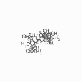 C=C1[C@H](O[Si](C)(C)C(C)(C)C)CC(=C/C=C2\CCC[C@@]3(C)C2CCC3[C@H](C)/C=C/[C@@H](C)C(C)(C)O[Si](CC)(CC)CC)C[C@H]1O[Si](C)(C)C(C)(C)C